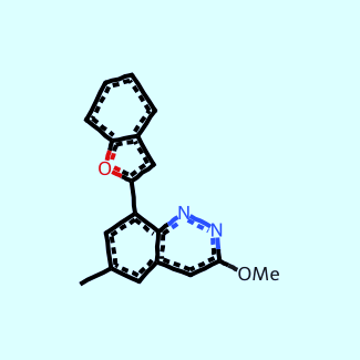 COc1cc2cc(C)cc(-c3cc4ccccc4o3)c2nn1